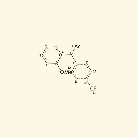 COc1ccccc1C(C(C)=O)c1ccc(C(F)(F)F)cc1